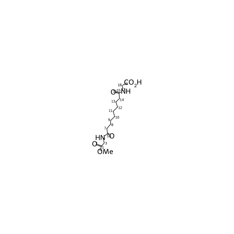 COC(=O)CNC(=O)CCCCCCCCC(=O)NCC(=O)O